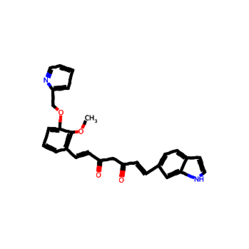 COc1c(C=CC(=O)CC(=O)C=Cc2ccc3cc[nH]c3c2)cccc1OCc1ccccn1